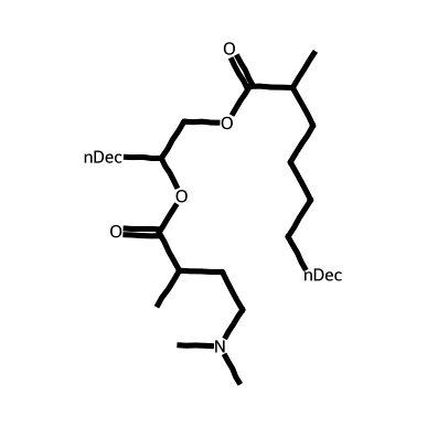 CCCCCCCCCCCCCCC(C)C(=O)OCC(CCCCCCCCCC)OC(=O)C(C)CCN(C)C